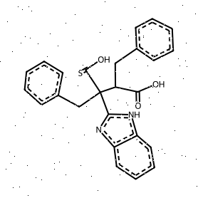 O=C(O)C(Cc1ccccc1)C(Cc1ccccc1)(C(O)=S)c1nc2ccccc2[nH]1